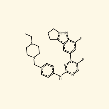 CCN1CCN(Cc2ccc(Nc3ncc(F)c(-c4cc(F)c5nn6c(c5c4)CCC6)n3)nc2)CC1